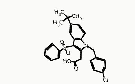 CC(C)(C)c1ccc2c(c1)c(S(=O)(=O)c1ccccc1)c(CC(=O)O)n2Cc1ccc(Cl)cc1